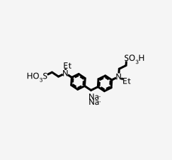 CCN(CCS(=O)(=O)O)c1ccc(Cc2ccc(N(CC)CCS(=O)(=O)O)cc2)cc1.[Na].[Na]